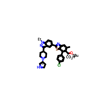 CCn1nc(C2CCN([C@H]3CCNC3)CC2)c2cc(-c3nc4cc(C)c([C@H](OC(C)(C)C)C(=O)O)c(-c5ccc(Cl)cc5)c4s3)ccc21